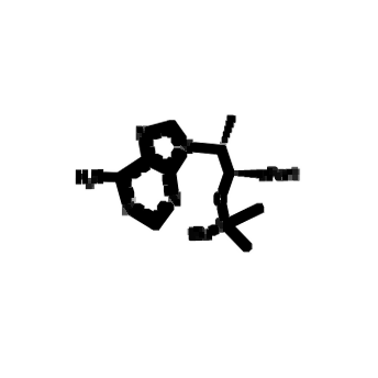 CCCCC[C@H](O[Si](C)(C)C(C)(C)C)[C@@H](C)n1cnc2c(N)ncnc21